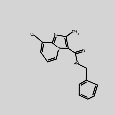 Cc1nc2c(Cl)cccn2c1C(=O)NCc1ccccc1